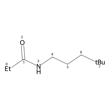 [CH2]CC(=O)NCCCC(C)(C)C